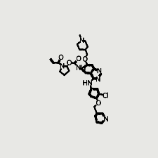 C=CC(=O)N1CCC[C@@H]1OC(=O)Nc1cc2c(Nc3ccc(OCc4cccnc4)c(Cl)c3)ncnc2cc1OCC1CCN(C)CC1